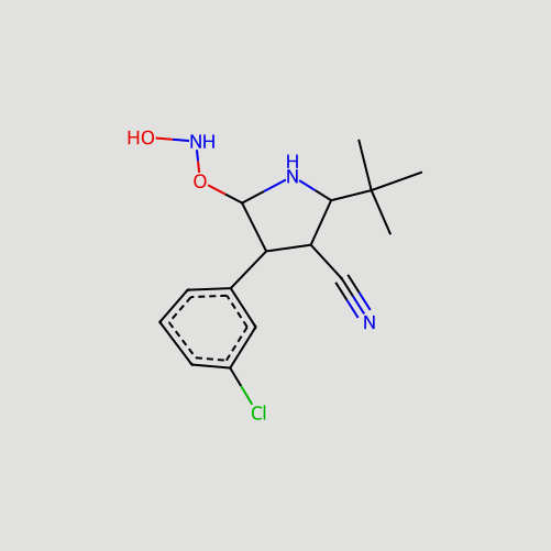 CC(C)(C)C1NC(ONO)C(c2cccc(Cl)c2)C1C#N